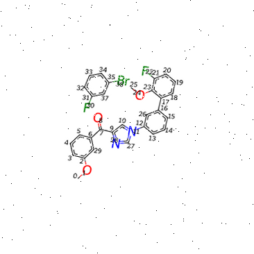 COc1cccc(C(=O)c2cn(-c3cccc(-c4cccc(F)c4OC)c3)cn2)c1.Fc1cccc(Br)c1